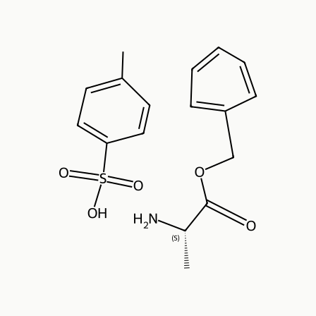 C[C@H](N)C(=O)OCc1ccccc1.Cc1ccc(S(=O)(=O)O)cc1